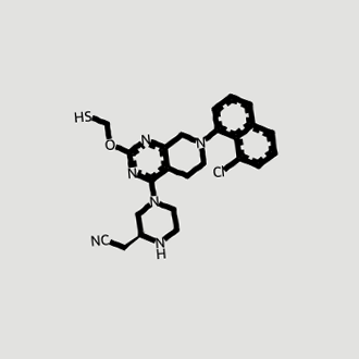 N#CC[C@H]1CN(c2nc(OCS)nc3c2CCN(c2cccc4cccc(Cl)c24)C3)CCN1